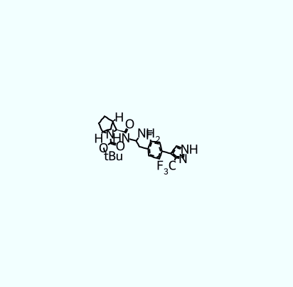 CC(C)(C)OC(=O)N1[C@@H]2CC[C@@H](C2)[C@H]1C(=O)NC(N)Cc1ccc(-c2c[nH]nc2C(F)(F)F)cc1F